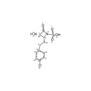 N[C@@H]1C(=O)N(S(=O)(=O)O)C1SCc1ccc(Cl)cc1